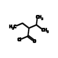 CCC(C(=O)Cl)C(C)C